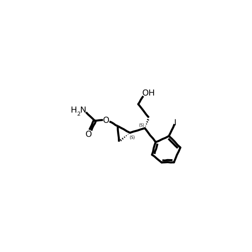 NC(=O)OC1C[C@H]1[C@H](CCO)c1ccccc1I